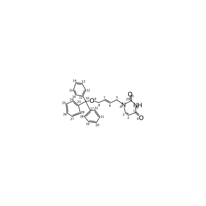 O=c1ccn(CC=CCOC(c2ccccc2)(c2ccccc2)c2ccccc2)c(=O)[nH]1